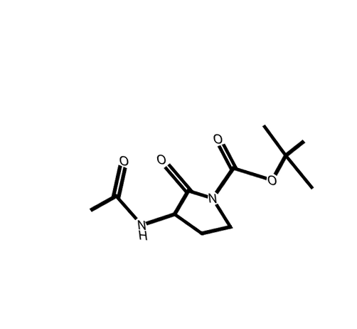 CC(=O)NC1CCN(C(=O)OC(C)(C)C)C1=O